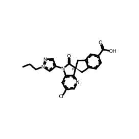 CCCn1cc(N2C(=O)[C@@]3(Cc4ccc(C(=O)O)cc4C3)c3ncc(Cl)cc32)cn1